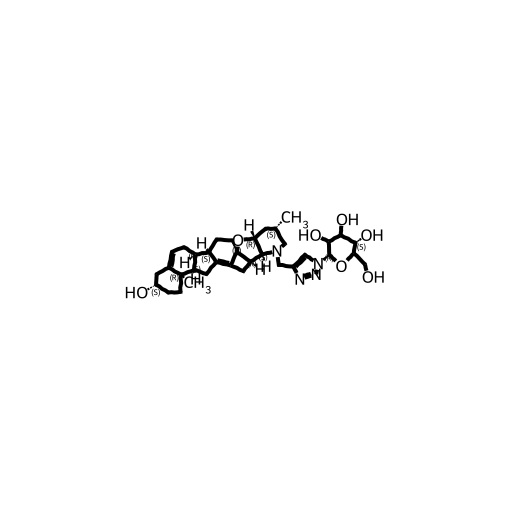 C[C@H]1C[C@H]2O[C@@]34CC[C@@H]5C(=C3C[C@@H]4[C@@H]2N(Cc2cn([C@@H]3OC(CO)[C@@H](O)C(O)C3O)nn2)C1)C[C@H]1[C@H]5CC=C2C[C@@H](O)CC[C@@]21C